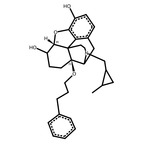 CC1CC1CN1CCC23c4c5ccc(O)c4O[C@H]2C(O)CC[C@@]3(OCCCc2ccccc2)C1C5